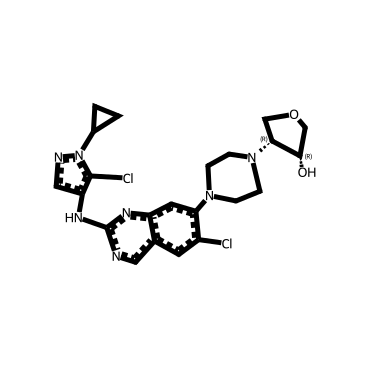 O[C@H]1COC[C@H]1N1CCN(c2cc3nc(Nc4cnn(C5CC5)c4Cl)ncc3cc2Cl)CC1